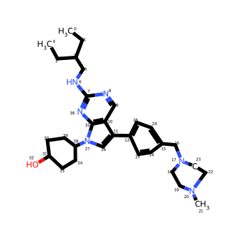 CCC(CC)CNc1ncc2c(-c3ccc(CN4CCN(C)CC4)cc3)cn(C3CCC(O)CC3)c2n1